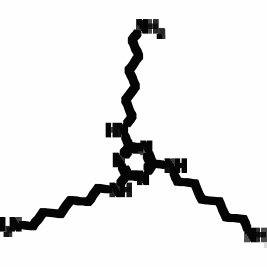 NCCCCCCNc1nc(NCCCCCCN)nc(NCCCCCCN)n1